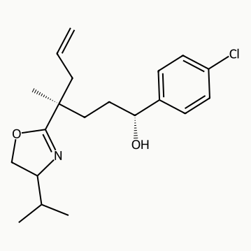 C=CC[C@@](C)(CC[C@@H](O)c1ccc(Cl)cc1)C1=NC(C(C)C)CO1